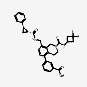 O=C(O)c1cccc(-c2ccc(CNC(=O)[C@@H]3C[C@H]3c3ccccc3)c3c2CCN(C(=O)NC2CC(F)(F)C2)C3)c1